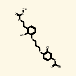 CCCc1c(CCNC(=O)OC(C)(C)C)cccc1OCCCSc1ccc(OC(=O)CC)cc1Cl